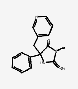 CN1C(=N)NC(Cc2cccnc2)(c2ccccc2)C1=O